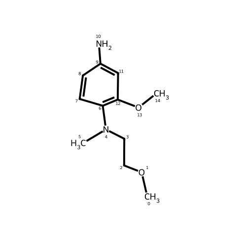 COCCN(C)c1ccc(N)cc1OC